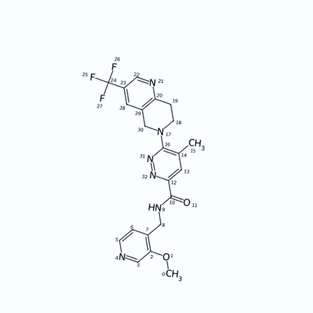 COc1cnccc1CNC(=O)c1cc(C)c(N2CCc3ncc(C(F)(F)F)cc3C2)nn1